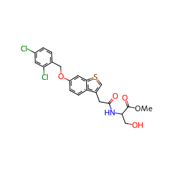 COC(=O)C(CO)NC(=O)Cc1csc2cc(OCc3ccc(Cl)cc3Cl)ccc12